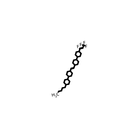 CCCCCC1CCC(C2CCC(/C=C/C3CCC(C4CCC(/C(F)=C/C(F)(F)F)CC4)CC3)CC2)CC1